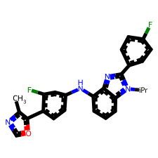 Cc1ncoc1-c1ccc(Nc2cccc3c2nc(-c2ccc(F)cc2)n3C(C)C)cc1F